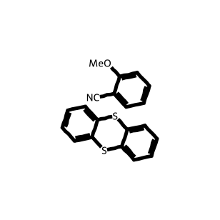 COc1ccccc1C#N.c1ccc2c(c1)Sc1ccccc1S2